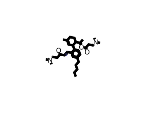 C=C(C)C1CCC(C)=CC1c1c(/C=C/C(=O)CCN(C)C)cc(CCCCC)cc1OC(=O)CCN(C)C